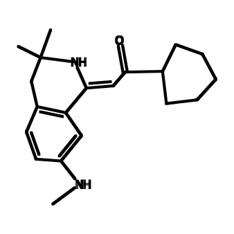 CNc1ccc2c(c1)/C(=C/C(=O)C1CCCCC1)NC(C)(C)C2